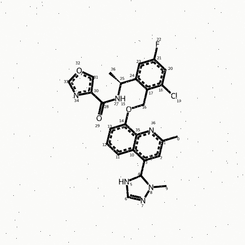 Cc1cc(C2NC=NN2C)c2cccc(OCc3c(Cl)cc(F)cc3[C@H](C)NC(=O)c3cocn3)c2n1